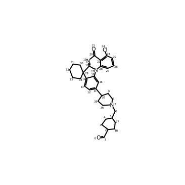 O=CC1CCC(CN2CCC(c3ccc4c(c3)-n3c(nc(=O)c5c(Cl)cccc53)C43CCCCC3)CC2)CC1